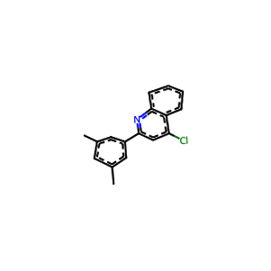 Cc1cc(C)cc(-c2cc(Cl)c3ccccc3n2)c1